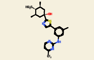 Cc1cc(Nc2nccc(C(F)(F)F)n2)cc(-c2cnc([C@@]3(O)C[C@@H](C)[C@H](C(=O)O)[C@@H](C)C3)s2)c1